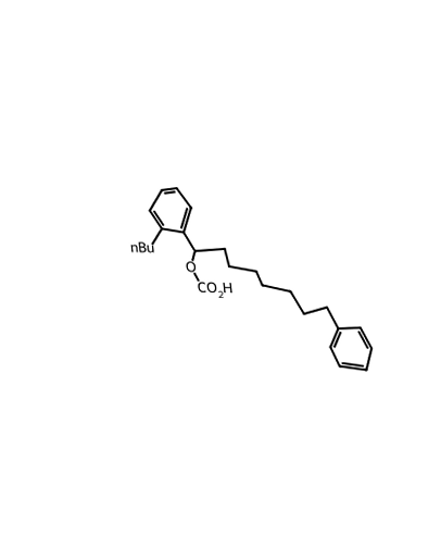 CCCCc1ccccc1C(CCCCCCCc1ccccc1)OC(=O)O